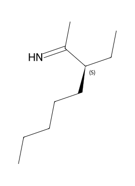 CCCCC[C@H](CC)C(C)=N